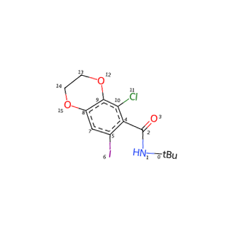 CC(C)(C)NC(=O)c1c(I)cc2c(c1Cl)OCCO2